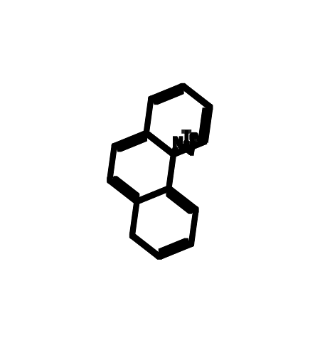 C1=CCC2=CC=C3C=CC=C4[Te]C=NC34C2=C1